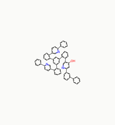 Oc1cc(-c2cccc(-c3ccccc3)c2)ncc1-c1ccccc1-c1cc(-c2ccccc2-c2ccc(-c3ccccc3)nc2)cc(-c2ccccc2-c2ccc(-c3ccccc3)nc2)c1